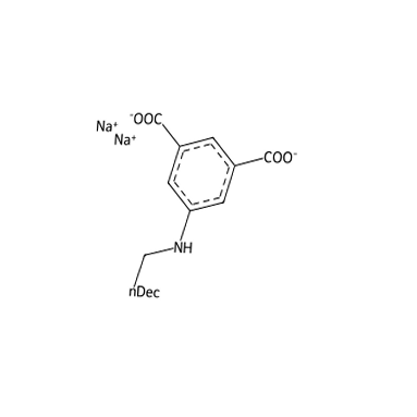 CCCCCCCCCCCNc1cc(C(=O)[O-])cc(C(=O)[O-])c1.[Na+].[Na+]